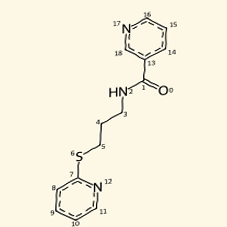 O=C(NCCCSc1ccccn1)c1cccnc1